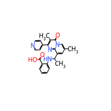 Cc1cc(C(C)Nc2ccccc2C(=O)O)c2nc(-c3ccncc3)c(C)c(=O)n2c1